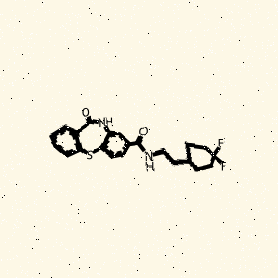 O=C(NCCC1CCC(F)(F)CC1)c1ccc2c(c1)NC(=O)c1ccccc1S2